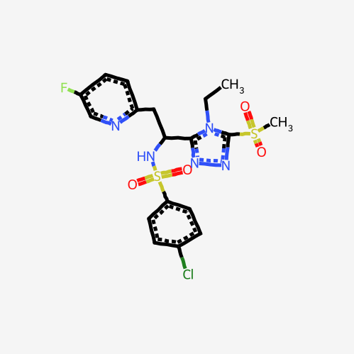 CCn1c(C(Cc2ccc(F)cn2)NS(=O)(=O)c2ccc(Cl)cc2)nnc1S(C)(=O)=O